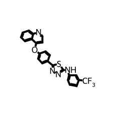 FC(F)(F)c1cccc(Nc2nnc(-c3ccc(Oc4ccnc5ccccc45)cc3)s2)c1